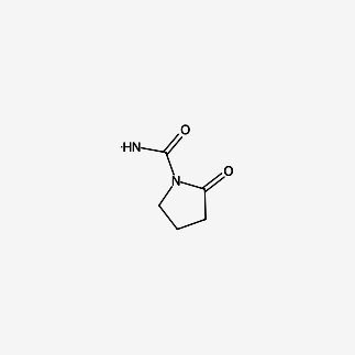 [NH]C(=O)N1CCCC1=O